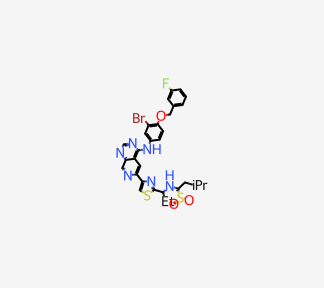 CCC(NC(CC(C)C)=S(=O)=O)c1nc(-c2cc3c(Nc4ccc(OCc5cccc(F)c5)c(Br)c4)ncnc3cn2)cs1